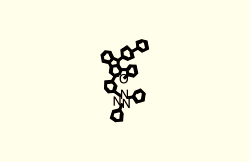 c1ccc(-c2ccc(C3c4ccccc4-c4cc(-c5cccc(-c6nc(-c7ccccc7)nc(-c7ccccc7)n6)c5)c5oc6ccccc6c5c43)cc2)cc1